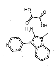 Cc1c(N)n(-c2ccncc2)c2ccccc12.O=C(O)C(=O)O